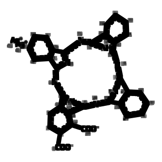 O=C([O-])c1ccc2c3nc4nc(nc5[nH]c(nc6nc(nc([nH]3)c2c1C(=O)[O-])-c1ccccc1-6)c1ccccc51)-c1ccccc1-4.[Ag+].[Ag+]